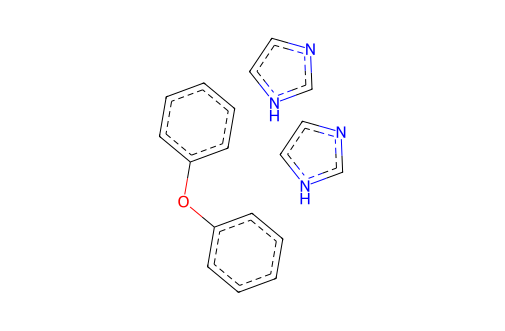 c1c[nH]cn1.c1c[nH]cn1.c1ccc(Oc2ccccc2)cc1